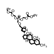 CC(C)OC(=O)OCOP(=O)(COCc1cc([C@H]2CCC3[C@@H]4CCC5C[C@@H](C)CC[C@]5(C)C4CC[C@@]32C)no1)OCOC(=O)OC(C)C